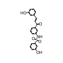 O=C(C=Cc1cccc(O)c1)c1cccc(NS(=O)(=O)c2cccc(O)c2)c1